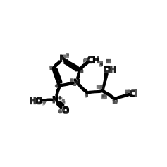 Cc1ncc([N+](=O)O)n1C[C@@H](O)CCl